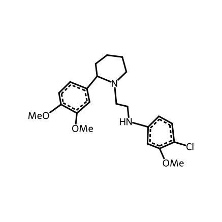 COc1cc(NCCN2CCCCC2c2ccc(OC)c(OC)c2)ccc1Cl